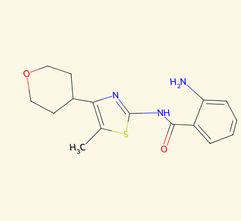 Cc1sc(NC(=O)c2ccccc2N)nc1C1CCOCC1